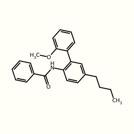 CCCCc1ccc(NC(=O)c2ccccc2)c(-c2ccccc2OC)c1